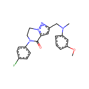 COc1cccc(N(C)Cc2cc3n(n2)CCN(c2ccc(F)cc2)C3=O)c1